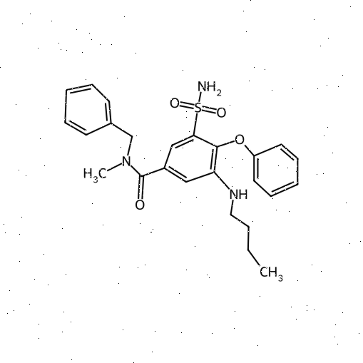 CCCCNc1cc(C(=O)N(C)Cc2ccccc2)cc(S(N)(=O)=O)c1Oc1ccccc1